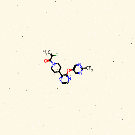 C=C(F)C(=O)N1CCC(c2nccnc2Oc2cnc(C(F)(F)F)nc2)CC1